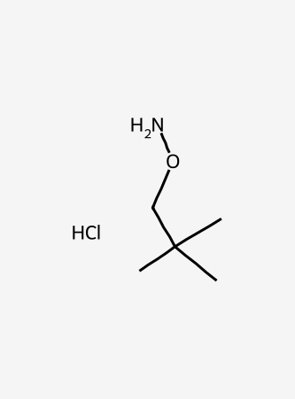 CC(C)(C)CON.Cl